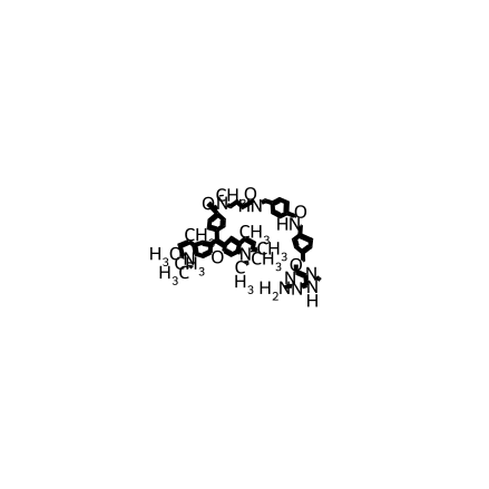 CCN1c2cc3c(cc2C(C)=CC1(C)C)C(c1ccc(C(=O)N(C)CCCC(=O)NCc2ccc(C(=O)NCc4ccc(COc5nc(N)nc6[nH]cnc56)cc4)cc2)cc1)=c1cc2c(cc1O3)=[N+](CC)C(C)(C)C=C2C